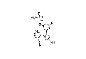 CNc1cc(-c2cc(F)cc(OC(C)(C)C(F)(F)P)c2)n(-c2cnccc2C#N)n1